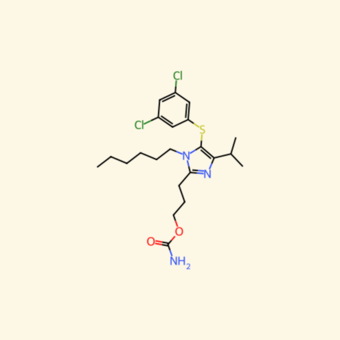 CCCCCCn1c(CCCOC(N)=O)nc(C(C)C)c1Sc1cc(Cl)cc(Cl)c1